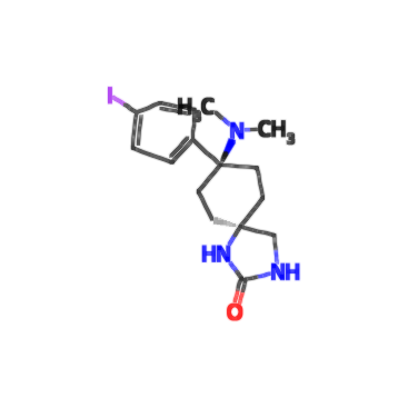 CN(C)[C@]1(c2ccc(I)cc2)CC[C@]2(CC1)CNC(=O)N2